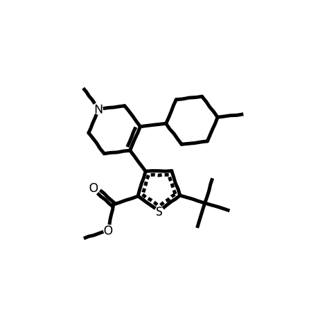 COC(=O)c1sc(C(C)(C)C)cc1C1=C(C2CCC(C)CC2)CN(C)CC1